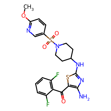 COc1ccc(S(=O)(=O)N2CCC(Nc3nc(N)c(C(=O)c4c(F)cccc4F)s3)CC2)cn1